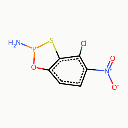 NP1Oc2ccc([N+](=O)[O-])c(Cl)c2S1